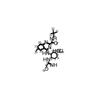 COCC(=N)N[C@@H]1CCCC[C@@H]1Nc1nc(C(=O)NCC(C)(C)C)nc2ccc(C)cc12.Cl.Cl